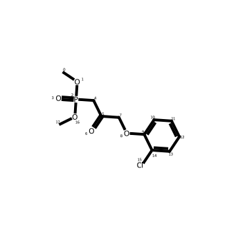 COP(=O)(CC(=O)COc1ccccc1Cl)OC